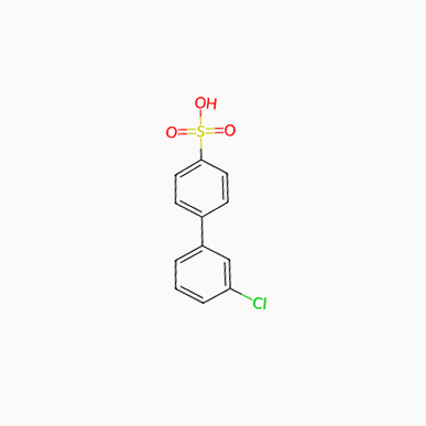 O=S(=O)(O)c1ccc(-c2cccc(Cl)c2)cc1